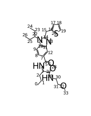 CCCC(NC(=O)c1ccc2c(c1)nc(Cc1cccs1)n2C(CC)CC)C(=O)NCCOC